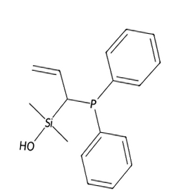 C=CC(P(c1ccccc1)c1ccccc1)[Si](C)(C)O